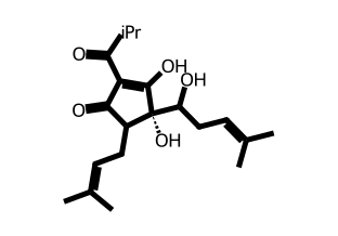 CC(C)=CCC(O)[C@]1(O)C(O)=C(C(=O)C(C)C)C(=O)C1CC=C(C)C